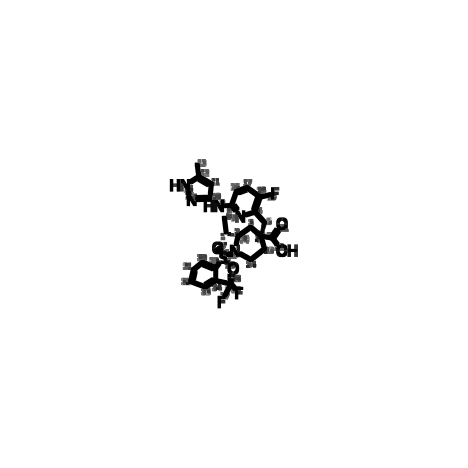 CC[C@@H]1C[C@](Cc2nc(Nc3cc(C)[nH]n3)ccc2F)(C(=O)O)CCN1S(=O)(=O)c1ccccc1C(F)(F)F